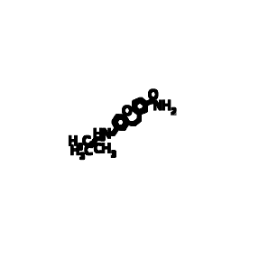 CC(C)(C)CCNCc1ccc2c(c1)CCc1cc(C(N)=O)ccc1O2